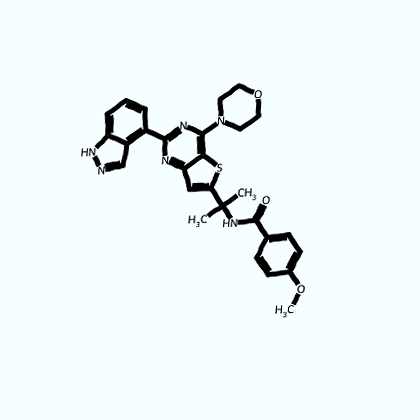 COc1ccc(C(=O)NC(C)(C)c2cc3nc(-c4cccc5[nH]ncc45)nc(N4CCOCC4)c3s2)cc1